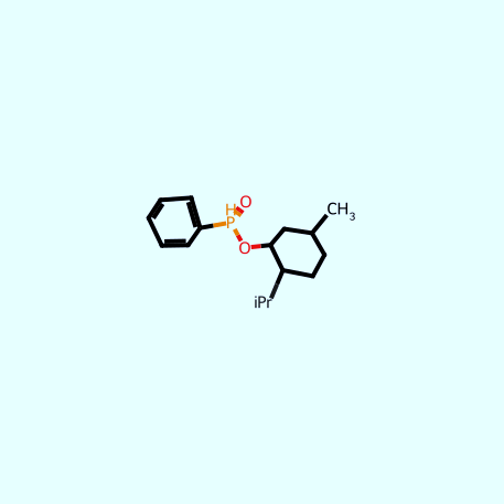 CC1CCC(C(C)C)C(O[PH](=O)c2ccccc2)C1